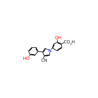 N#Cc1cn(-c2ccc(C(=O)O)c(O)c2)cc1-c1cccc(O)c1